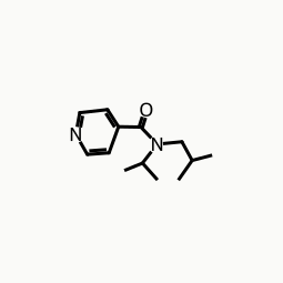 CC(C)CN(C(=O)c1ccncc1)C(C)C